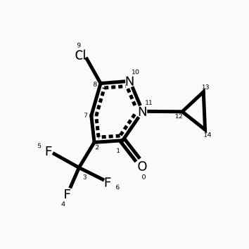 O=c1c(C(F)(F)F)cc(Cl)nn1C1CC1